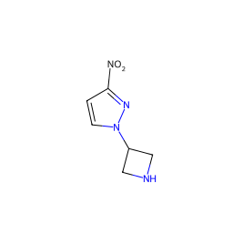 O=[N+]([O-])c1ccn(C2CNC2)n1